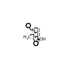 CCC([C@H]1COCCN1Cc1ccccc1)N(Cc1ccccc1)C(=O)C(=O)O